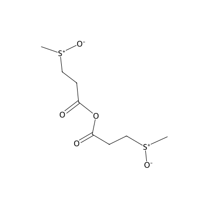 C[S+]([O-])CCC(=O)OC(=O)CC[S+](C)[O-]